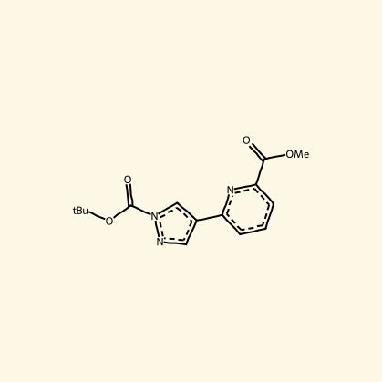 COC(=O)c1cccc(-c2cnn(C(=O)OC(C)(C)C)c2)n1